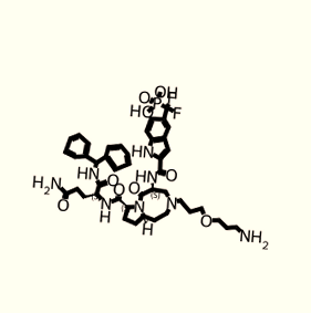 NCCCOCCCN1CC[C@H]2CC[C@@H](C(=O)N[C@@H](CCC(N)=O)C(=O)NC(c3ccccc3)c3ccccc3)N2C(=O)[C@@H](NC(=O)c2cc3cc(C(F)(F)P(=O)(O)O)ccc3[nH]2)C1